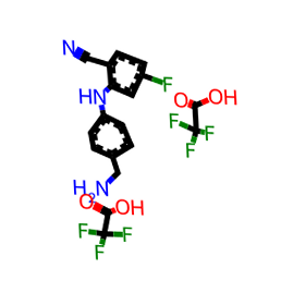 N#Cc1ccc(F)cc1Nc1ccc(CN)cc1.O=C(O)C(F)(F)F.O=C(O)C(F)(F)F